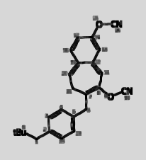 CC(C)(C)Cc1ccc(CC2=C(OC#N)C=c3cc(OC#N)ccc3=CC2)cc1